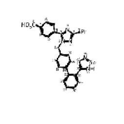 CC(C)c1nc(-c2ccc(C(=O)O)cc2)n(Cc2ccc(-c3ccccc3-c3nnn[nH]3)cc2)n1